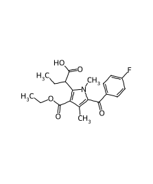 CCOC(=O)c1c(C)c(C(=O)c2ccc(F)cc2)n(C)c1C(CC)C(=O)O